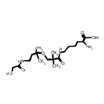 CCC(=O)NCCC(C)(C)OCC(C)(C)C(=O)NCCCCC(N)C(=O)O